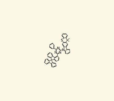 CC1(C)c2ccccc2Sc2cc3c(cc21)c1ccccc1n3-c1nc(-c2ccccc2)nc(-c2cccc3c2-c2ccccc2C32c3ccccc3-c3ccccc32)n1